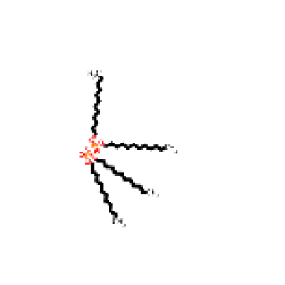 CCCCCCCCCCCCOP(=O)(OCCCCCCCCCCCC)OP(=O)(OCCCCCCCCCCCC)OCCCCCCCCCCCC